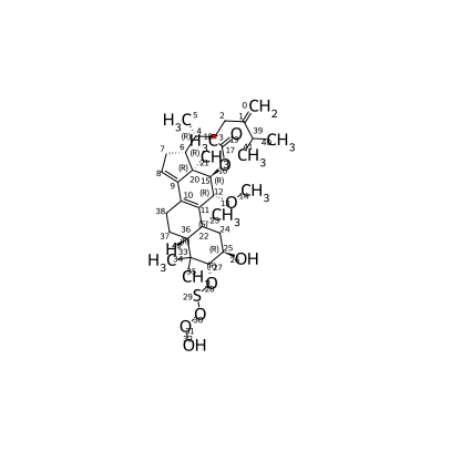 C=C(CC[C@@H](C)[C@H]1CC=C2C3=C([C@@H](OC)[C@H](OC(C)=O)[C@@]21C)[C@@]1(C)C[C@@H](O)[C@H](OSOOO)C(C)(C)[C@@H]1CC3)C(C)C